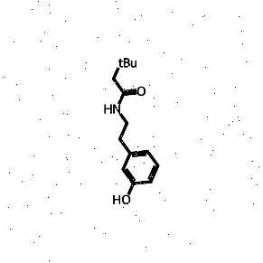 CC(C)(C)CC(=O)NCCc1cccc(O)c1